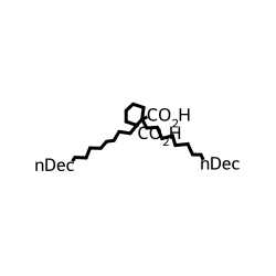 CCCCCCCCCCCCCCCCCCC1(C(=O)O)CCCCC1(CCCCCCCCCCCCCCCCCC)C(=O)O